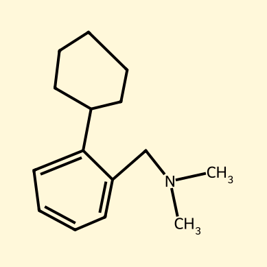 CN(C)Cc1ccccc1C1CCCCC1